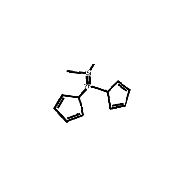 C[Si](C)=[Zr]([CH]1C=CC=C1)[CH]1C=CC=C1